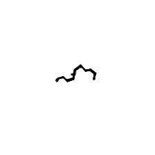 [2H]C([2H])(/C=C\C/C=C\CC)/C=C\CC(=O)O